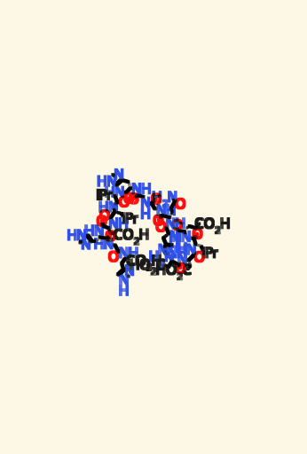 CC(C)C[C@H](NC(=O)[C@H](CC(=O)O)NC(=O)[C@@H](N)CC(=O)O)C(=O)N[C@@H](CCC(=O)O)C(=O)N[C@@H](Cc1c[nH]cn1)C(=O)N[C@@H](CCC(N)=O)C(=O)NCC(=O)NCC(=O)N[C@@H](Cc1c[nH]cn1)C(=O)N[C@H](C(=O)N[C@@H](CC(C)C)C(=O)N[C@@H](CC(=O)O)C(=O)N[C@@H](Cc1c[nH]cn1)C(=O)NCC(=O)N[C@@H](Cc1c[nH]cn1)C(=O)O)C(C)C